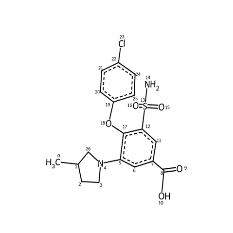 CC1CCN(c2cc(C(=O)O)cc(S(N)(=O)=O)c2Oc2ccc(Cl)cc2)C1